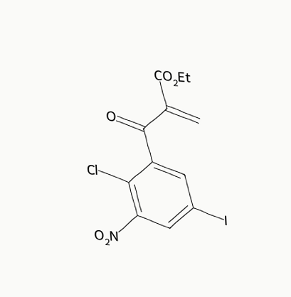 C=C(C(=O)OCC)C(=O)c1cc(I)cc([N+](=O)[O-])c1Cl